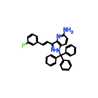 Nc1ccc2c(n1)c(C=Cc1cccc(F)c1)nn2C(c1ccccc1)(c1ccccc1)c1ccccc1